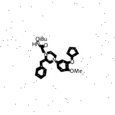 COc1ccc(N2CCN(CC(=O)NOCC(C)C)C(Cc3ccccc3)C2)cc1OC1CCCC1